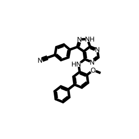 COc1ccc(-c2ccccc2)cc1Nc1ncnc2[nH]nc(-c3ccc(C#N)cc3)c12